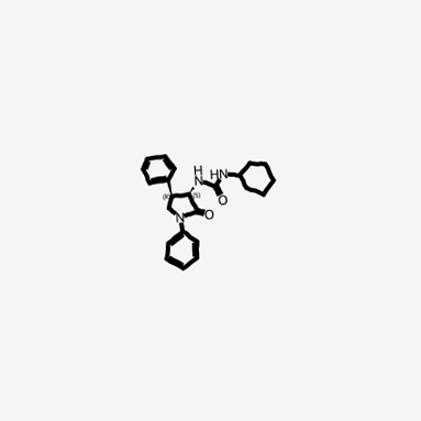 O=C(NC1CCCCC1)N[C@@H]1C(=O)N(c2ccccc2)C[C@H]1c1ccccc1